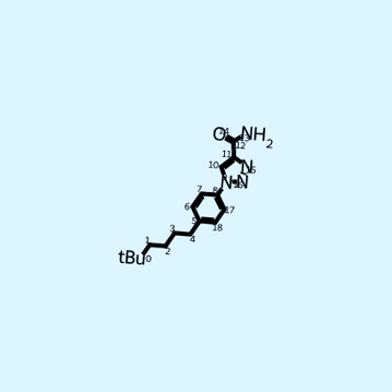 CC(C)(C)CCCCc1ccc(-n2cc(C(N)=O)nn2)cc1